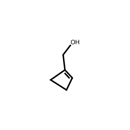 OCC1=CCC1